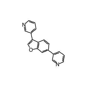 c1cncc(-c2ccc3c(-c4cccnc4)coc3c2)c1